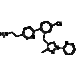 Cc1nn(-c2ccccn2)cc1Cc1cc(C#N)ccc1-c1ccc(CCN)cn1